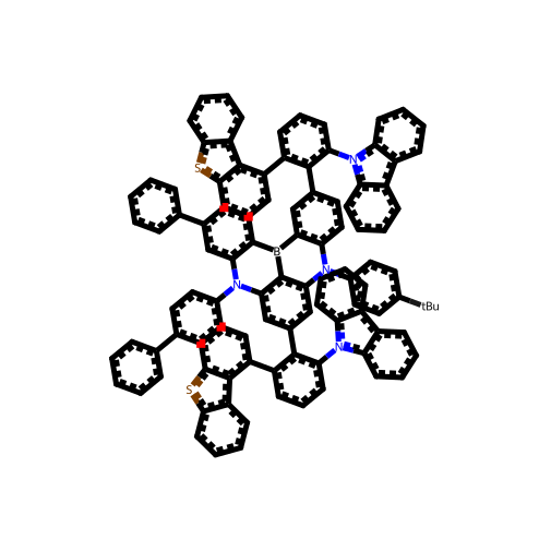 CC(C)(C)c1ccc(N2c3ccc(-c4c(-c5cccc6sc7ccccc7c56)cccc4-n4c5ccccc5c5ccccc54)cc3B3c4ccc(-c5ccccc5)cc4N(c4ccc(-c5ccccc5)cc4)c4cc(-c5c(-c6cccc7sc8ccccc8c67)cccc5-n5c6ccccc6c6ccccc65)cc2c43)cc1